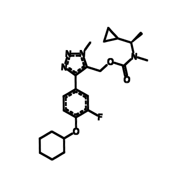 C[C@H](C1CC1)N(C)C(=O)OCc1c(-c2ccc(OC3CCCCC3)c(F)c2)nnn1C